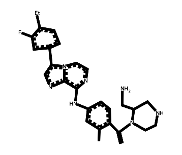 C=C(c1ccc(Nc2nccn3c(-c4ccc(CC)c(F)c4)cnc23)cc1C)N1CCNCC1CN